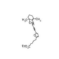 CCOC(=O)CCCCc1ccc(C#CC=CC2=C(C)CCCC2(C)C)o1